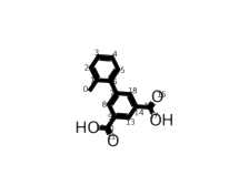 Cc1ccccc1-c1cc(C(=O)O)cc(C(=O)O)c1